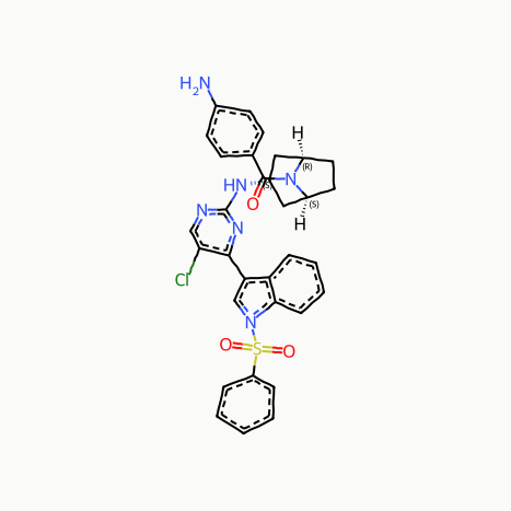 Nc1ccc(C(=O)N2[C@@H]3CC[C@H]2C[C@H](Nc2ncc(Cl)c(-c4cn(S(=O)(=O)c5ccccc5)c5ccccc45)n2)C3)cc1